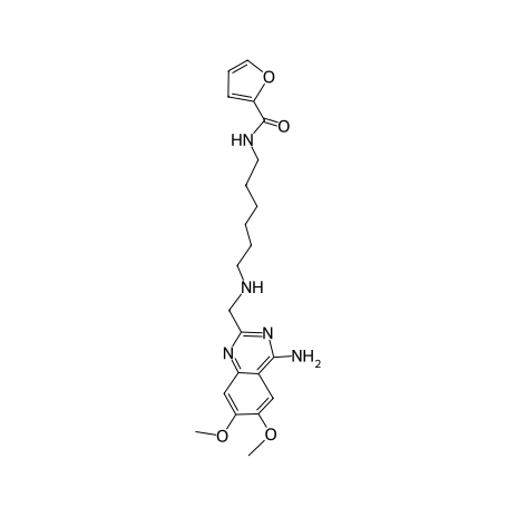 COc1cc2nc(CNCCCCCCNC(=O)c3ccco3)nc(N)c2cc1OC